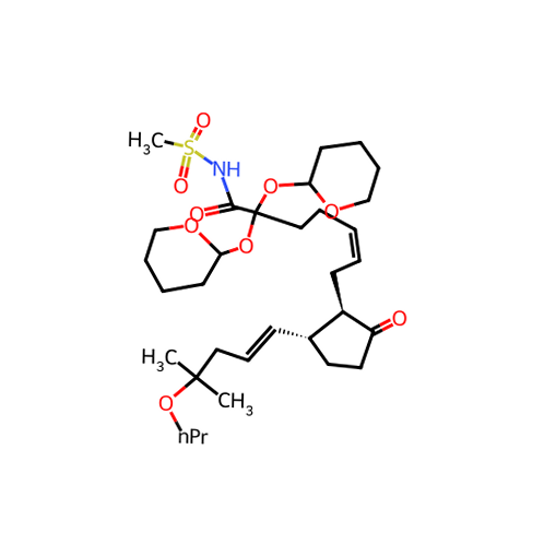 CCCOC(C)(C)C/C=C/[C@H]1CCC(=O)[C@@H]1C/C=C\CCC(OC1CCCCO1)(OC1CCCCO1)C(=O)NS(C)(=O)=O